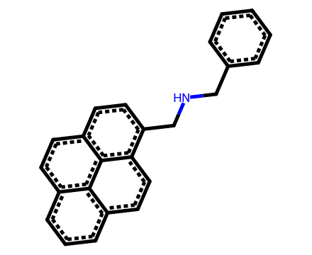 c1ccc(CNCc2ccc3ccc4cccc5ccc2c3c45)cc1